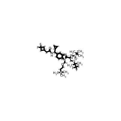 CC(C)(C)[S@@+]([O-])N[C@@H](COC(C)(C)C(F)(F)F)c1nc2cc([C@H](NC(=O)CC3CC(F)(F)C3)C3CC3)ccc2n1COCC[Si](C)(C)C